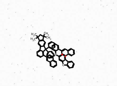 CC1(C)CC(C)(C)c2cc3c(cc21)-c1cccc(-c2cc(N(c4ccc5c(c4)oc4ccccc45)c4ccccc4-c4ccc5ccccc5c4)c4ccccc4c2)c1C3(c1ccccc1)c1ccccc1